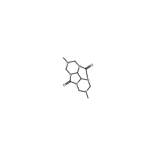 CN1CN2C(=O)N3CN(C)CN4C(=O)N(C1)C2C34